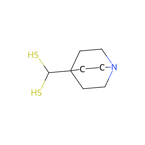 SC(S)C12CCN(CC1)CC2